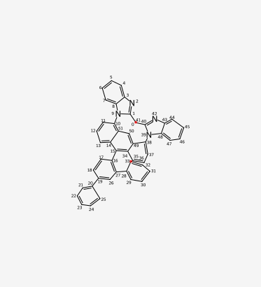 Cc1nc2ccccc2n1-c1cccc2c(-c3ccc(-c4ccccc4)cc3-c3ccccc3)c3cccc(-n4c(C)nc5ccccc54)c3cc12